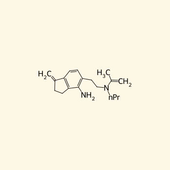 C=C1CCc2c1ccc(CCN(CCC)C(=C)C)c2N